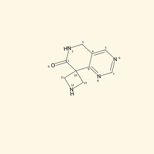 O=C1NCc2cncnc2C12CNC2